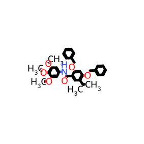 COc1cc(NC(=O)c2cc(C(C)C)c(OCc3ccccc3)cc2OCc2ccccc2)cc(OC)c1OC